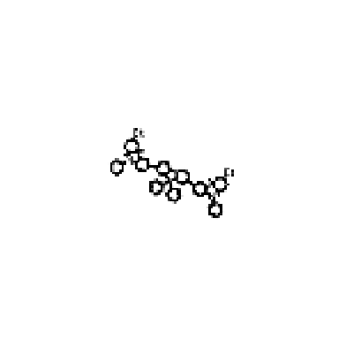 CCC1CCC2(C)N(c3ccccc3)c3ccc(-c4ccc5c(c4)C(c4ccccc4)(c4ccccc4)c4cc(-c6ccc7c(c6)C6(C)CC(CC)CCC6(C)N7c6ccccc6)ccc4-5)cc3C2(C)C1